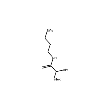 CCCCCCC(CCC)C(=O)NCCCSC